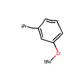 CC(C)c1c[c]cc(OC(C)(C)C)c1